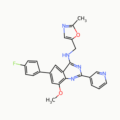 COc1cc(-c2ccc(F)cc2)cc2c(NCc3cnc(C)o3)nc(-c3cccnc3)nc12